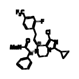 CNC(=O)[C@@H](c1ccccc1)N1CCn2c(C3CC3)nc(Cl)c2[C@@H]1CCc1ccc(C(F)(F)F)cc1F